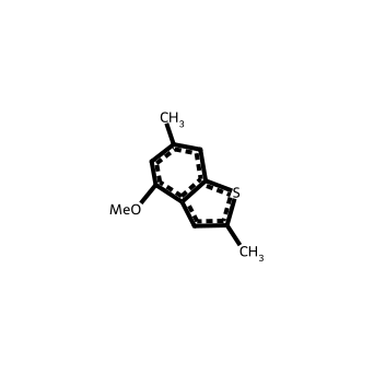 COc1cc(C)cc2sc(C)cc12